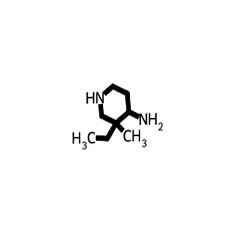 CCC1(C)CNCCC1N